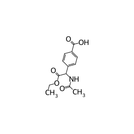 CCOC(=O)C(NC(C)=O)c1ccc(C(=O)O)cc1